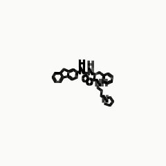 O=C(Nc1ccc2c(c1)Cc1ccccc1-2)N[C@@H](Cc1ccccc1)C(=O)NCCCN1CCCC1